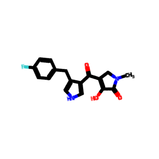 CN1CC(C(=O)c2c[nH]cc2Cc2ccc(F)cc2)=C(O)C1=O